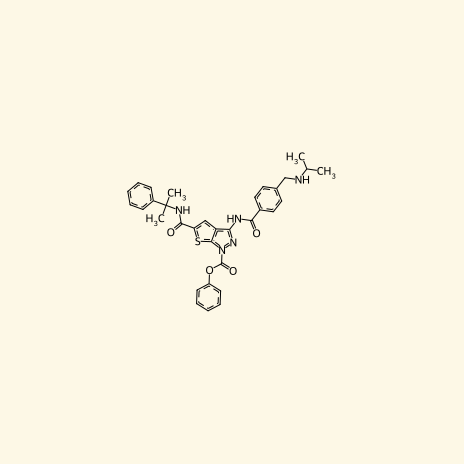 CC(C)NCc1ccc(C(=O)Nc2nn(C(=O)Oc3ccccc3)c3sc(C(=O)NC(C)(C)c4ccccc4)cc23)cc1